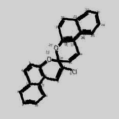 ClC1=Cc2c(ccc3ccccc23)OC12C=Cc1c(ccc3ccccc13)O2